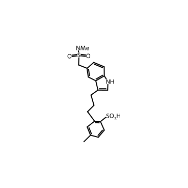 CNS(=O)(=O)Cc1ccc2[nH]cc(CCCc3cc(C)ccc3S(=O)(=O)O)c2c1